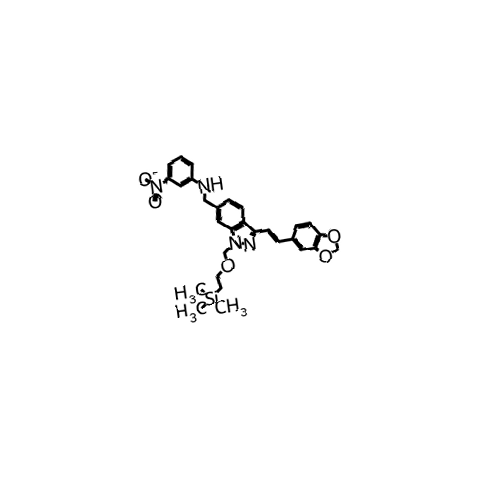 C[Si](C)(C)CCOCn1nc(/C=C/c2ccc3c(c2)OCO3)c2ccc(CNc3cccc([N+](=O)[O-])c3)cc21